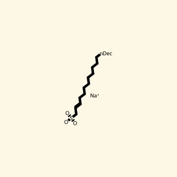 CCCCCCCCCCCCCCCCCCC/C=C/CS(=O)(=O)[O-].[Na+]